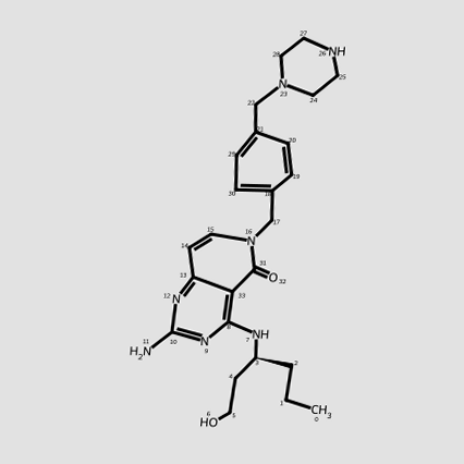 CCC[C@@H](CCO)Nc1nc(N)nc2ccn(Cc3ccc(CN4CCNCC4)cc3)c(=O)c12